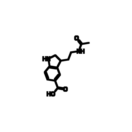 CC(=O)NCCC1CNc2ccc(C(=O)O)cc21